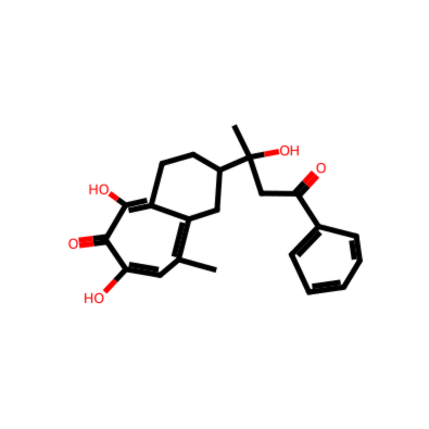 Cc1cc(O)c(=O)c(O)c2c1CC(C(C)(O)CC(=O)c1ccccc1)CC2